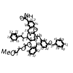 COCCOCO[C@@H]1[C@@H](CCc2ccccc2)N(Cc2cccc(C(N)=O)c2)C(=O)N(Cc2cccc(OCc3ccccc3)c2)[C@@H]1Cc1ccccc1